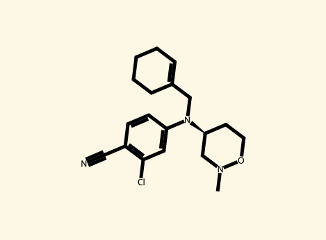 CN1C[C@@H](N(CC2=CCCCC2)c2ccc(C#N)c(Cl)c2)CCO1